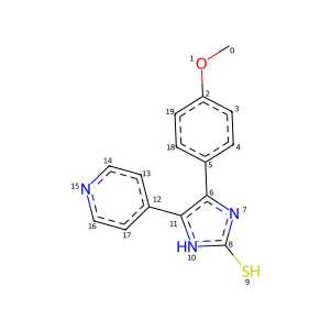 COc1ccc(-c2nc(S)[nH]c2-c2ccncc2)cc1